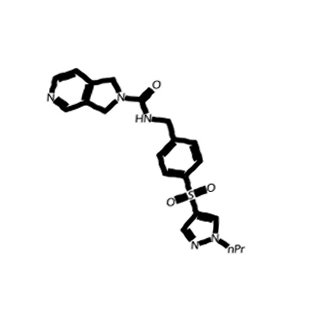 CCCn1cc(S(=O)(=O)c2ccc(CNC(=O)N3Cc4ccncc4C3)cc2)cn1